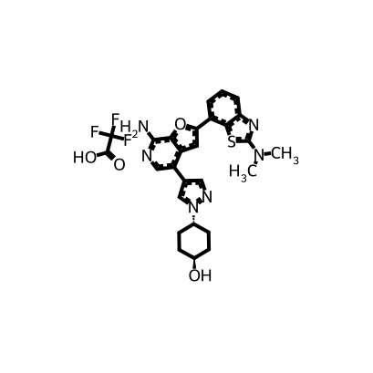 CN(C)c1nc2cccc(-c3cc4c(-c5cnn([C@H]6CC[C@H](O)CC6)c5)cnc(N)c4o3)c2s1.O=C(O)C(F)(F)F